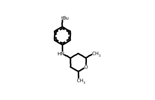 CC1CC(Nc2ccc(C(C)(C)C)cc2)CC(C)O1